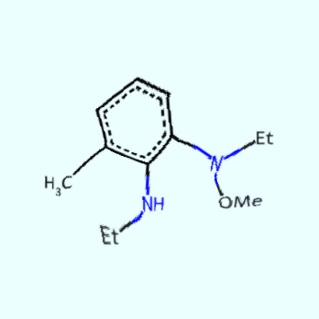 CCNc1c(C)cccc1N(CC)OC